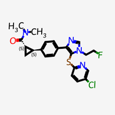 CN(C)C(=O)[C@H]1C[C@@H]1c1ccc(-c2ncn(CCF)c2Sc2ccc(Cl)cn2)cc1